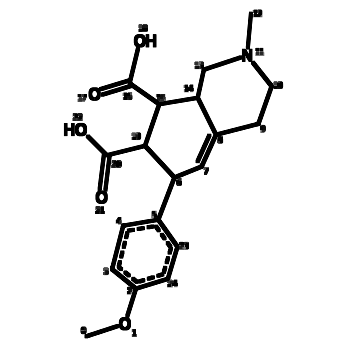 COc1ccc(C2C=C3CCN(C)CC3C(C(=O)O)C2C(=O)O)cc1